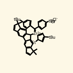 CCC1C=C(C(C)(C)C)C=[C]1[Zr+2](=[C](c1ccc(C(C)(C)C)cc1)c1ccc(C(C)(C)C)cc1)[CH]1c2cc3c(cc2-c2cc4c(cc21)C(C)(C)C=C4)C=CC3(C)C.[Cl-].[Cl-]